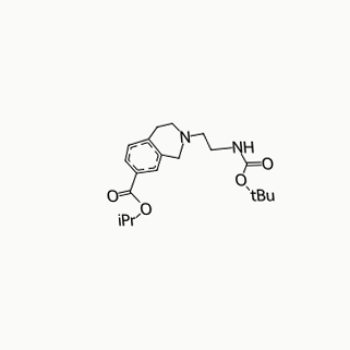 CC(C)OC(=O)c1ccc2c(c1)CN(CCNC(=O)OC(C)(C)C)CC2